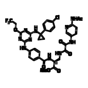 COC(=O)[C@H](CNC(=O)C(=O)Nc1ccc(NC(C)=O)nc1)NC(=O)c1ccc(Nc2nc(NC3(c4ccc(Cl)cc4)CC3)nc(OCC(F)(F)F)n2)cc1